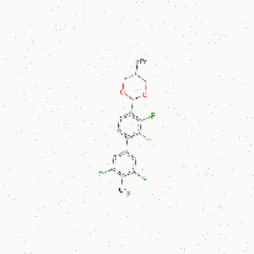 CCCC1COC(c2ccc(-c3cc(F)c(C(F)(F)F)c(F)c3)c(F)c2F)OC1